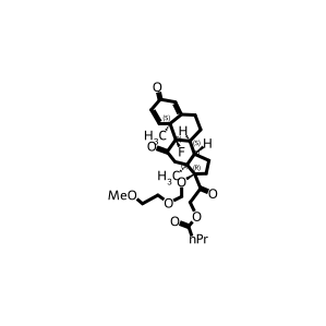 CCCC(=O)OCC(=O)[C@@]1(OCOCCOC)CC[C@H]2[C@@H]3CCC4=CC(=O)C=C[C@]4(C)[C@@]3(F)C(=O)C[C@@]21C